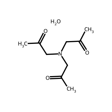 CC(=O)CN(CC(C)=O)CC(C)=O.O